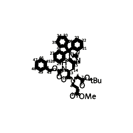 COC(=O)CCN(CC(=O)OC(C)(C)C)C(=O)[C@H](Cc1cn(C(c2ccccc2)(c2ccccc2)c2ccccc2)cn1)NC(=O)OCc1ccccc1